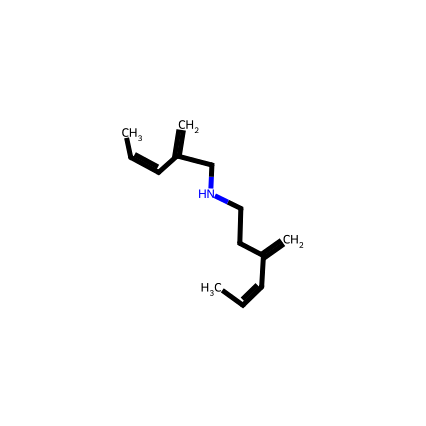 C=C(/C=C\C)CCNCC(=C)/C=C\C